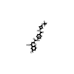 O=C(NC12CCC(C(=O)NC3CC(OC(F)(F)F)C3)(CC1)OC2)[C@@H]1C[C@H](O)c2cc(Cl)ccc2O1